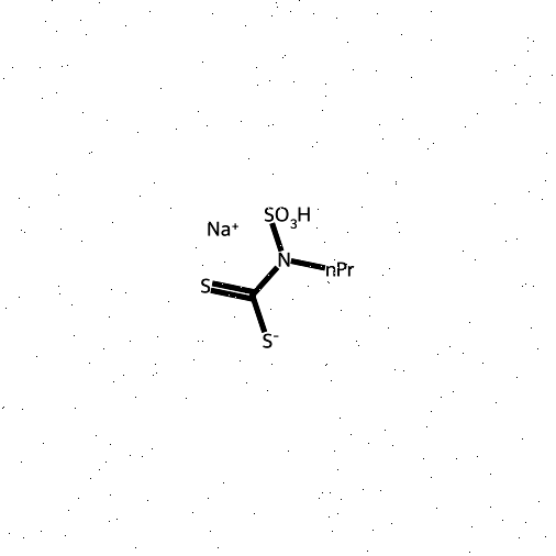 CCCN(C(=S)[S-])S(=O)(=O)O.[Na+]